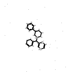 C1=CCCC(C(C2=COC=CO2)N2CCCC(c3ccccc3)C2)=C1